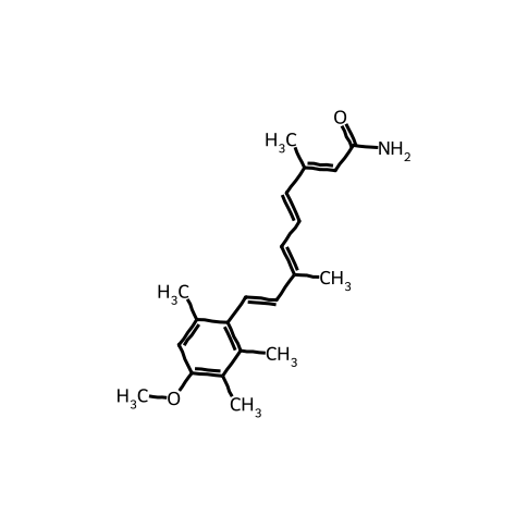 COc1cc(C)c(C=CC(C)=CC=CC(C)=CC(N)=O)c(C)c1C